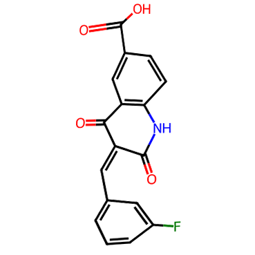 O=C1Nc2ccc(C(=O)O)cc2C(=O)/C1=C/c1cccc(F)c1